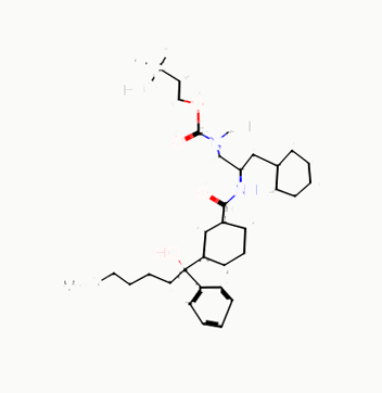 COCCCC[C@@](O)(c1ccccc1)C1CCCC(C(=O)NC(CC2CCCCC2)CN(C)C(=O)OCC[Si](C)(C)C)C1